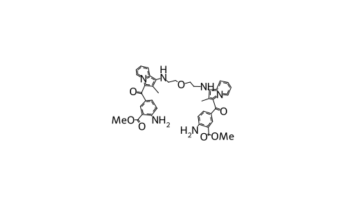 COC(=O)c1cc(C(=O)c2c(C)c(NCCOCCNc3c(C)c(C(=O)c4ccc(N)c(C(=O)OC)c4)n4ccccc34)c3ccccn23)ccc1N